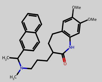 COc1cc2c(cc1OC)NC(=O)C(CCCN(C)C(C)c1ccc3ccccc3c1)CC2